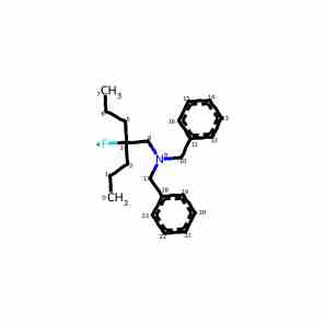 CCCC(F)(CCC)CN(Cc1ccccc1)Cc1ccccc1